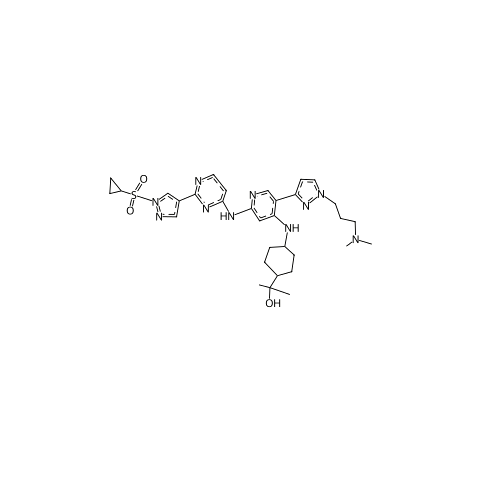 CN(C)CCCn1ccc(-c2cnc(Nc3ccnc(-c4cnn(S(=O)(=O)C5CC5)c4)n3)cc2NC2CCC(C(C)(C)O)CC2)n1